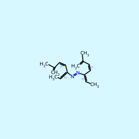 C=C(C)/C=C\C(=C/C)N=NC(/C=C\C(=C)C)=C/C